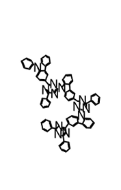 c1ccc(-c2nc(-c3ccccc3)nc(-c3ccc4c(c3)c3ccccc3n4-c3nc(-c4ccccc4)nc(-c4ccc5c(c4)c4ccccc4n5-c4nc(-c5ccccc5)nc(-c5ccc6c(c5)c5ccccc5n6-c5ccccc5)n4)n3)n2)cc1